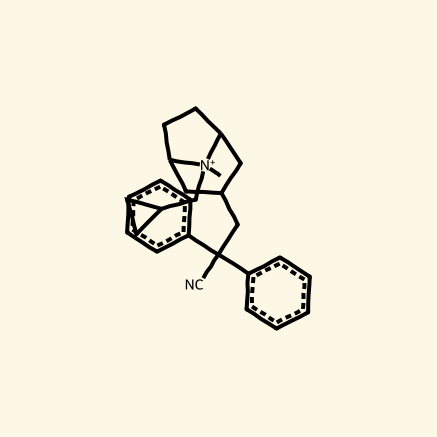 C[N+]1(CC2CC2)C2CCC1CC(CC(C#N)(c1ccccc1)c1ccccc1)C2